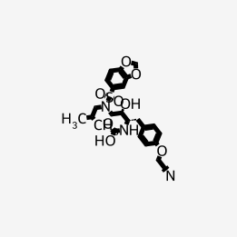 CC(C)CN(C[C@@H](O)[C@H](Cc1ccc(OCC#N)cc1)NC(=O)O)S(=O)(=O)c1ccc2c(c1)OCO2